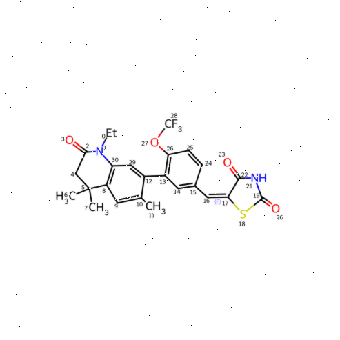 CCN1C(=O)CC(C)(C)c2cc(C)c(-c3cc(/C=C4/SC(=O)NC4=O)ccc3OC(F)(F)F)cc21